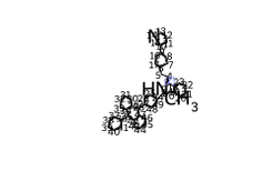 CC(N/C(=C\Cc1ccc(-c2cccnc2)cc1)c1ccccc1)c1ccc(-c2c3ccccc3c(-c3ccccc3)c3ccccc23)cc1